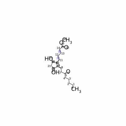 CCCCCC(=O)CC[C@@H]1[C@H](/C=C/C=C/C(=O)OC)[C@@H](O)C[C@H]1O